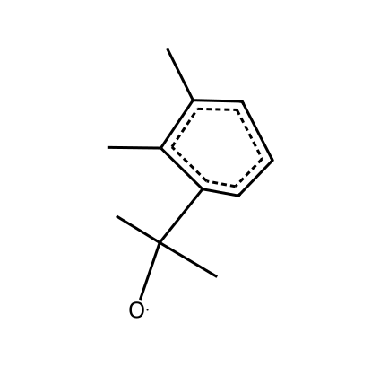 Cc1cccc(C(C)(C)[O])c1C